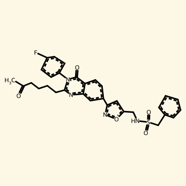 CC(=O)CCCCc1nc2cc(-c3cc(CNS(=O)(=O)Cc4ccccc4)on3)ccc2c(=O)n1-c1ccc(F)cc1